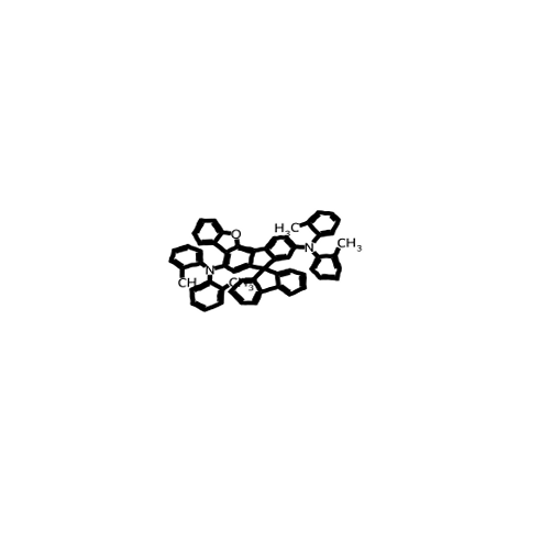 Cc1ccccc1N(c1ccc2c(c1)C1(c3ccccc3-c3ccccc31)c1cc(N(c3ccccc3C)c3ccccc3C)c3c(oc4ccccc43)c1-2)c1ccccc1C